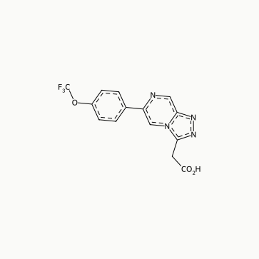 O=C(O)Cc1nnc2cnc(-c3ccc(OC(F)(F)F)cc3)cn12